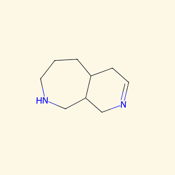 C1=NCC2CNCCCC2C1